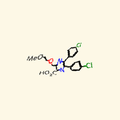 COCCOCc1nc(-c2ccc(Cl)cc2)c(-c2ccc(Cl)cc2)nc1C(=O)O